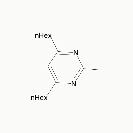 CCCCCCc1cc(CCCCCC)nc(C)n1